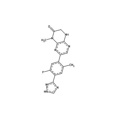 Cc1cc(-c2nc[nH]n2)c(F)cc1-c1cnc2c(n1)N(C)C(=O)CN2